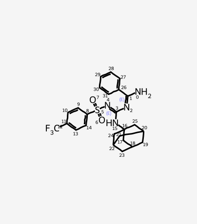 N/C(=N/C(=N/S(=O)(=O)c1ccc(C(F)(F)F)cc1)NC12CC3CC(CC(C3)C1)C2)c1ccccc1